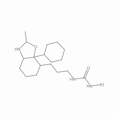 CCNC(=O)NCCCC1CCCC2NC(C)OC12C1CCCCC1